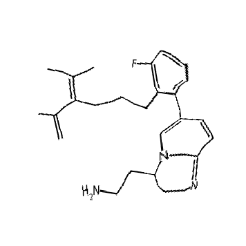 C=C(C)C(CCCc1c(F)cccc1C1=CN2C(=NCC2CCN)C=C1)=C(C)C